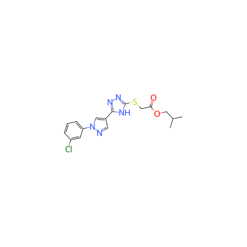 CC(C)COC(=O)CSc1nnc(-c2cnn(-c3cccc(Cl)c3)c2)[nH]1